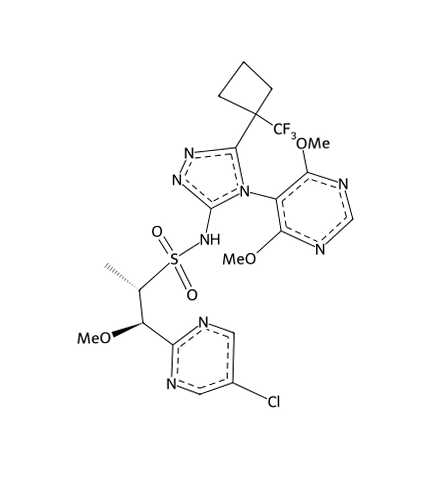 COc1ncnc(OC)c1-n1c(NS(=O)(=O)[C@@H](C)[C@H](OC)c2ncc(Cl)cn2)nnc1C1(C(F)(F)F)CCC1